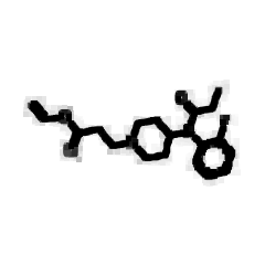 C=COC(=O)CCN1CCC(N(C(=O)CC)c2ccccc2F)CC1